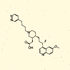 COc1ccc2nccc([C@@H](F)CC[C@@H]3CCN(CCCCc4ccnnc4)C[C@@H]3CC(=O)O)c2c1